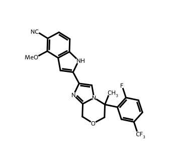 COc1c(C#N)ccc2[nH]c(-c3cn4c(n3)COCC4(C)c3cc(C(F)(F)F)ccc3F)cc12